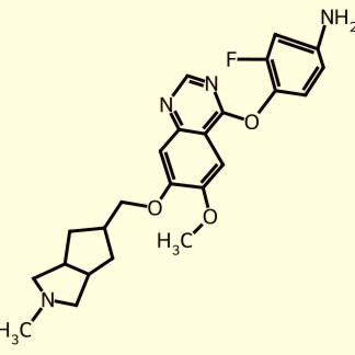 COc1cc2c(Oc3ccc(N)cc3F)ncnc2cc1OCC1CC2CN(C)CC2C1